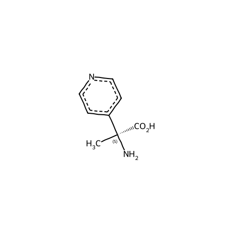 C[C@@](N)(C(=O)O)c1ccncc1